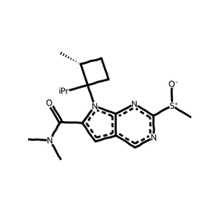 CC(C)C1(n2c(C(=O)N(C)C)cc3cnc([S+](C)[O-])nc32)CC[C@H]1C